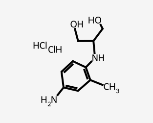 Cc1cc(N)ccc1NC(CO)CO.Cl.Cl